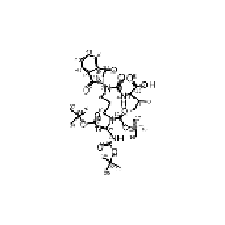 CC(C)C(NC(=O)N(CCCN(C(=O)OC(C)(C)C)/C(=N\C(=O)OC(C)(C)C)NC(=O)OC(C)(C)C)N1C(=O)c2ccccc2C1=O)C(=O)O